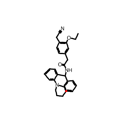 CCOc1cc(CC(=O)NC(c2ccccc2)c2ccccc2N2CCCCC2)ccc1CC#N